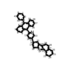 c1ccc(-c2c3ccccc3c(-c3ccc(-c4ccc5sc6c7ccccc7ccc6c5c4)cn3)c3ccccc23)cc1